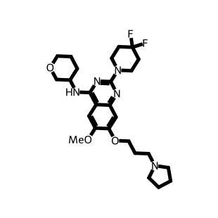 COc1cc2c(NC3CCCOC3)nc(N3CCC(F)(F)CC3)nc2cc1OCCCN1CCCC1